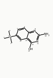 C[Si](C)(C)c1ccc2nc(N)nc(O)c2c1